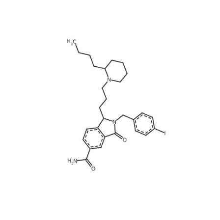 CCCCC1CCCCN1CCCC1c2ccc(C(N)=O)cc2C(=O)N1Cc1ccc(I)cc1